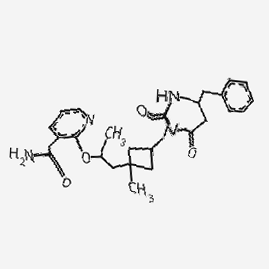 CC(CC1(C)CC(N2C(=O)CC(Cc3ccccc3)NC2=O)C1)Oc1ncccc1C(N)=O